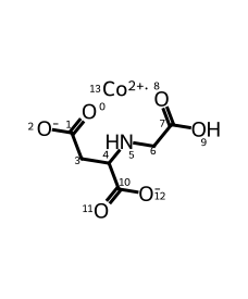 O=C([O-])CC(NCC(=O)O)C(=O)[O-].[Co+2]